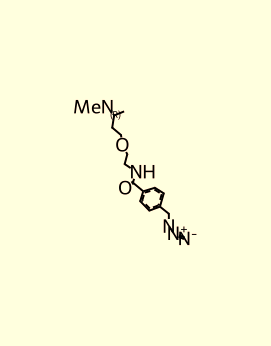 CN[C@H](C)CCOCCNC(=O)c1ccc(CN=[N+]=[N-])cc1